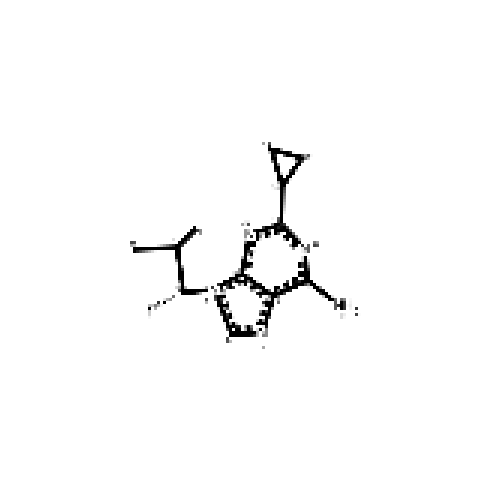 CC(C)[C@@H](C)n1cnc2c(N)nc(C3CC3)nc21